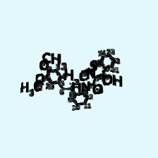 COc1ccc(CCc2ccccc2NC(=O)C2=C(O)c3ccccc3SN2C)cc1OC